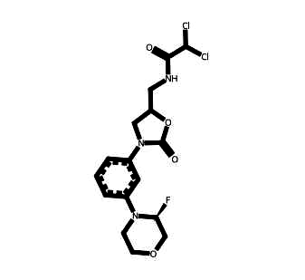 O=C(NCC1CN(c2cccc(N3CCOC[C@@H]3F)c2)C(=O)O1)C(Cl)Cl